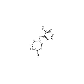 O=C1CCC(Cc2cccnc2F)CCN1